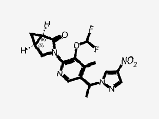 Cc1c(C(C)n2cc([N+](=O)[O-])cn2)cnc(N2C[C@H]3C[C@H]3C2=O)c1OC(F)F